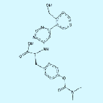 CN(C)C(=O)Oc1ccc(C[C@H](Nc2cc(-c3ccccc3CO)ncn2)C(=O)O)cc1